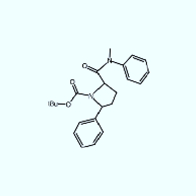 CN(C(=O)C1CCC(c2ccccc2)N1C(=O)OC(C)(C)C)c1ccccc1